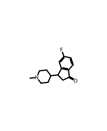 CN1CCC(C2CC(=O)c3ccc(F)cc32)CC1